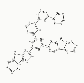 c1ccc(-c2cccc(-c3cccc(-c4nc(-c5ccc6c(c5)oc5ccccc56)nc(-c5ccc6c(c5)oc5ccccc56)n4)c3)c2)cc1